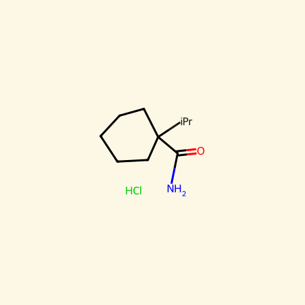 CC(C)C1(C(N)=O)CCCCC1.Cl